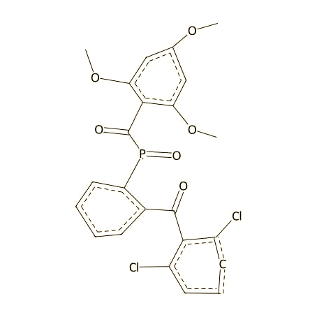 COc1cc(OC)c(C(=O)[P](=O)c2ccccc2C(=O)c2c(Cl)cccc2Cl)c(OC)c1